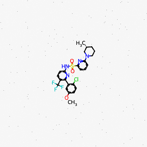 COc1ccc(Cl)c(-c2nc(NS(=O)(=O)c3cccc(N4CCC[C@@H](C)C4)n3)ccc2C(F)(F)F)c1